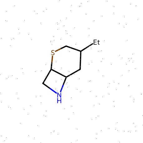 CCC1CSC2CNC2C1